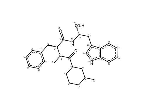 CC1CCCC(C(=O)N(C)[C@@H](Cc2ccccc2)C(=O)N[C@@H](Cc2c[nH]c3ccccc23)C(=O)O)C1